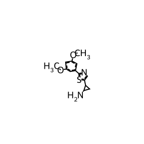 COc1cc(OC)cc(-c2ncc(C3CC3N)s2)c1